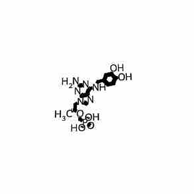 C[C@H](Cn1cnc2c(NCc3ccc(O)c(O)c3)nc(N)nc21)OCP(=O)(O)O